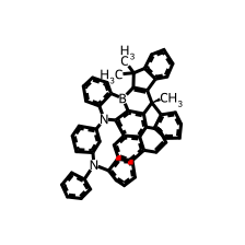 CC1(C)C2=C(c3ccccc31)[C@](C)(c1ccccc1)c1c3c(c4cccc5c4c1CC=C5)N(c1cccc(N(c4ccccc4)c4ccccc4)c1)c1ccccc1B23